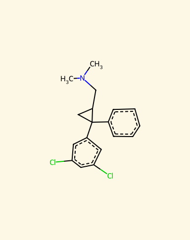 CN(C)CC1CC1(c1ccccc1)c1cc(Cl)cc(Cl)c1